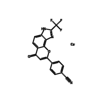 N#Cc1ccc(-c2cc(=O)c3ccc4[nH]c(C(F)(F)F)nc4c3o2)cc1.[Ca]